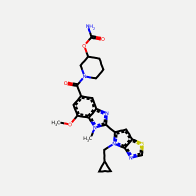 COc1cc(C(=O)N2CCCC(OC(N)=O)C2)cc2nc(-c3cc4scnc4n3CC3CC3)n(C)c12